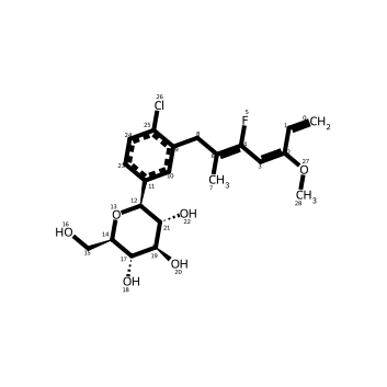 C=C/C(=C\C(F)=C(/C)Cc1cc([C@@H]2O[C@H](CO)[C@@H](O)[C@H](O)[C@H]2O)ccc1Cl)OC